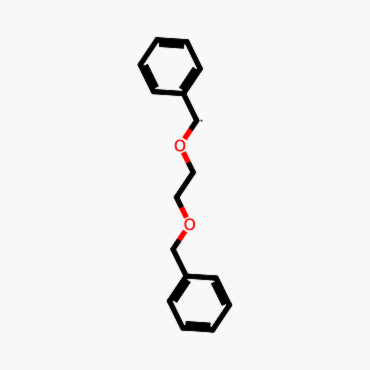 [CH](OCCOCc1ccccc1)c1ccccc1